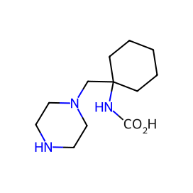 O=C(O)NC1(CN2CCNCC2)CCCCC1